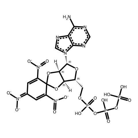 Nc1ncnc2c1ncn2[C@@H]1O[C@H](COP(=O)(O)OP(=O)(O)OP(=O)(O)O)[C@H]2OC3(O[C@H]21)C([N+](=O)[O-])=CC(=[N+]([O-])[O-])C=C3[N+](=O)[O-]